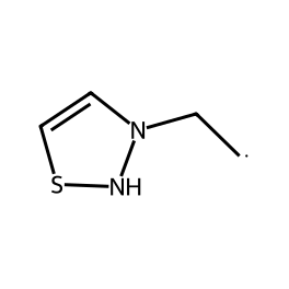 [CH2]CN1C=CSN1